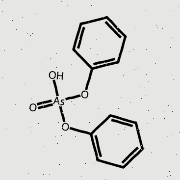 O=[As](O)(Oc1ccccc1)Oc1ccccc1